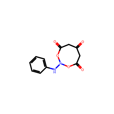 O=C1CC(=O)ON(Nc2ccccc2)OC(=O)C1